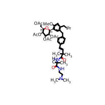 COc1cc(CC(C)C)c(Cc2ccc(/C=C/C(C)(C)C(=O)NC(C)(C)C(=O)NCCN(C)C)cc2)cc1[C@@H]1O[C@H](COC(C)=O)[C@@H](OC(C)=O)[C@H](OC(C)=O)[C@H]1OC(C)=O